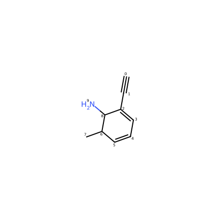 C#CC1=CC=CC(C)C1N